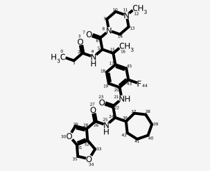 CCC(=O)NC(C(=O)N1CCN(C)CC1)C(C)c1ccc(NC(=O)C(NC(=O)c2coc3c2COC3)C2CCCCCC2)c(F)c1